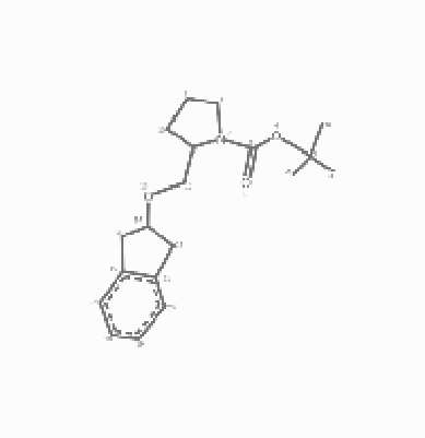 CC(C)(C)OC(=O)N1CCCC1COC1Cc2ccccc2C1